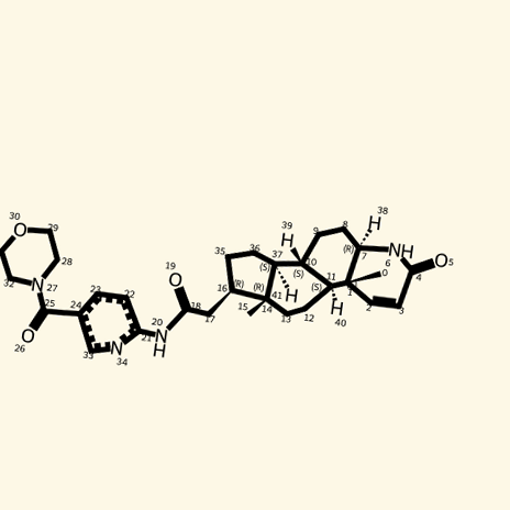 C[C@]12C=CC(=O)N[C@@H]1CC[C@@H]1[C@@H]2CC[C@]2(C)[C@@H](CC(=O)Nc3ccc(C(=O)N4CCOCC4)cn3)CC[C@@H]12